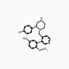 Oc1ccc(OC(F)(F)F)c(-c2cnccc2CN2CCNC[C@@H]2c2ccc(F)cc2)c1